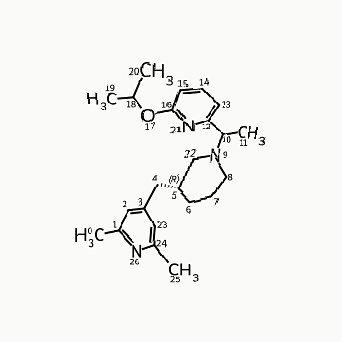 Cc1cc(C[C@H]2CCCN(C(C)c3cccc(OC(C)C)n3)C2)cc(C)n1